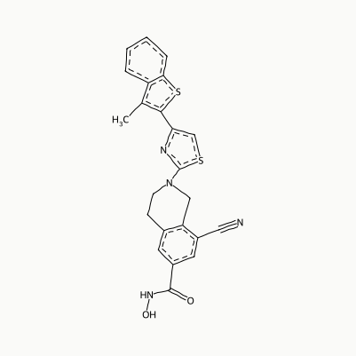 Cc1c(-c2csc(N3CCc4cc(C(=O)NO)cc(C#N)c4C3)n2)sc2ccccc12